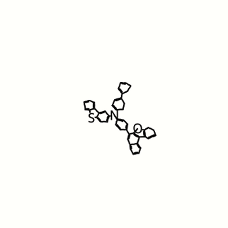 C1=CCCC(C2=CC=C(N(c3ccc(-c4cc5ccccc5c5c6c(oc45)CCC=C6)cc3)c3ccc4sc5ccccc5c4c3)CC2)=C1